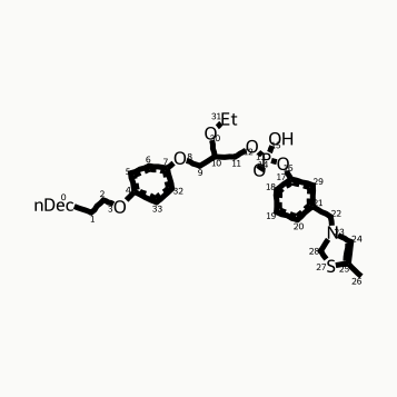 CCCCCCCCCCCCOc1ccc(OCC(COP(=O)(O)Oc2cccc(CN3C=C(C)SC3)c2)OCC)cc1